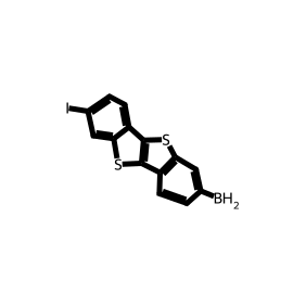 Bc1ccc2c(c1)sc1c3ccc(I)cc3sc21